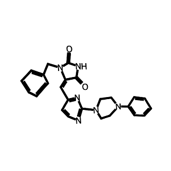 O=C1NC(=O)N(Cc2ccccc2)/C1=C/c1ccnc(N2CCN(c3ccccc3)CC2)n1